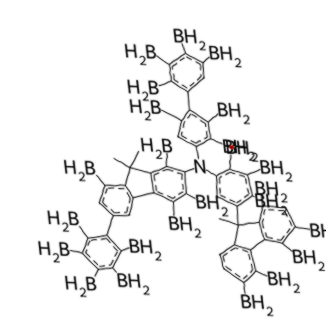 Bc1cc(-c2c(B)cc(N(c3cc(C4(C)c5ccc(B)c(B)c5-c5c(B)c(B)cc(B)c54)c(B)c(B)c3B)c3c(B)c(B)c4c(c3B)C(C)(C)c3c(B)cc(-c5c(B)c(B)c(B)c(B)c5B)cc3-4)c(B)c2B)c(B)c(B)c1B